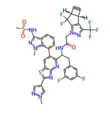 Cn1cc(-c2nc3nc(C(Cc4cc(F)cc(F)c4)NC(=O)Cn4nc(C(F)(F)F)c5c4C(F)(F)[C@@H]4C#C[C@H]54)c(-c4cccc5c(NS(C)(=O)=O)nn(C)c45)cc3s2)cn1